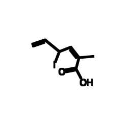 C=CC(I)C=C(C)C(=O)O